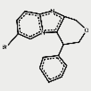 Brc1ccc2nc3c(n2c1)C(c1ccccc1)COC3